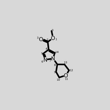 COC(=O)c1cnn(C2CCOCC2)c1